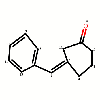 O=C1CCCC(=Cc2ccccc2)C1